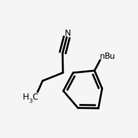 CCCC#N.CCCCc1ccccc1